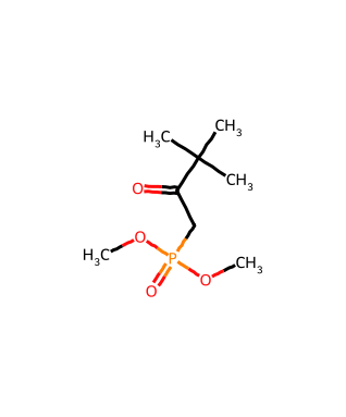 COP(=O)(CC(=O)C(C)(C)C)OC